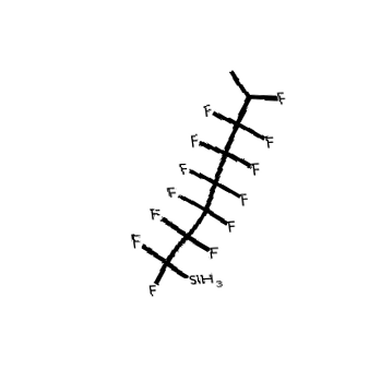 CC(F)C(F)(F)C(F)(F)C(F)(F)C(F)(F)C(F)(F)C(F)(F)[SiH3]